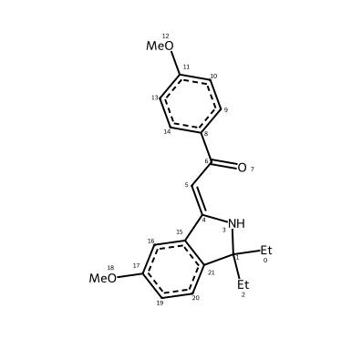 CCC1(CC)N/C(=C\C(=O)c2ccc(OC)cc2)c2cc(OC)ccc21